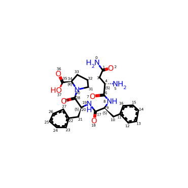 NC(=O)C[C@H](N)C(=O)N[C@@H](Cc1ccccc1)C(=O)N[C@@H](Cc1ccccc1)C(=O)N1CCC[C@@H]1C(=O)O